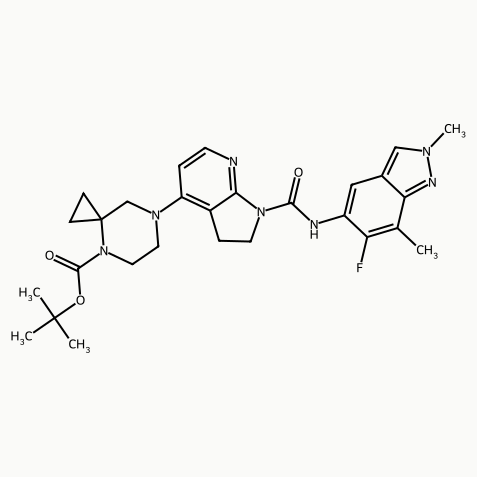 Cc1c(F)c(NC(=O)N2CCc3c(N4CCN(C(=O)OC(C)(C)C)C5(CC5)C4)ccnc32)cc2cn(C)nc12